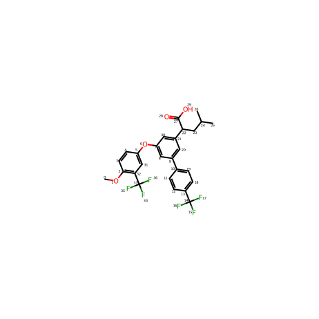 COc1ccc(Oc2cc(-c3ccc(C(F)(F)F)cc3)cc(C(CC(C)C)C(=O)O)c2)cc1C(F)(F)F